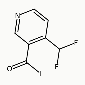 O=C(I)c1cnccc1C(F)F